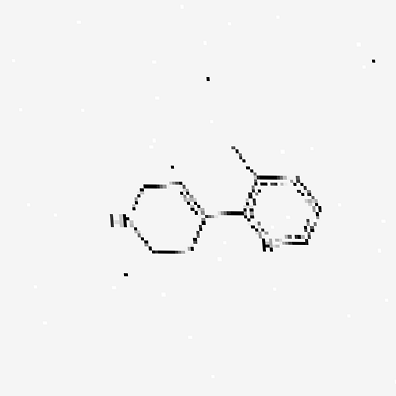 Cc1cccnc1C1=CCNCC1